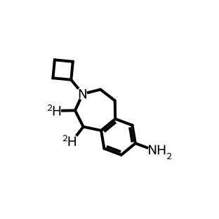 [2H]C1c2ccc(N)cc2CCN(C2CCC2)C1[2H]